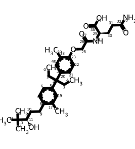 CCC(CC)(c1ccc(CC[C@H](O)C(C)(C)C)c(C)c1)c1ccc(OCC(=O)N[C@H](CCC(N)=O)C(=O)O)c(C)c1